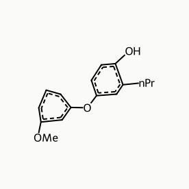 CCCc1cc(Oc2cccc(OC)c2)ccc1O